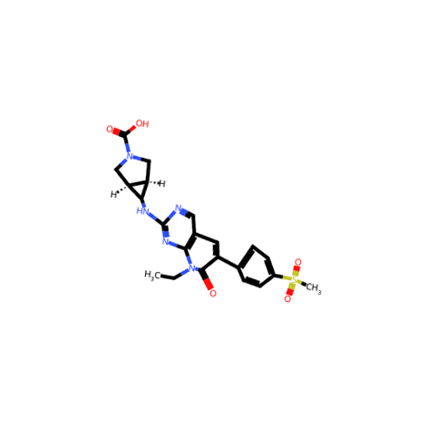 CCn1c(=O)c(-c2ccc(S(C)(=O)=O)cc2)cc2cnc(NC3[C@H]4CN(C(=O)O)C[C@@H]34)nc21